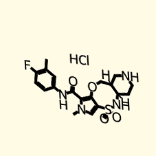 Cc1cc(NC(=O)c2c3c(cn2C)S(=O)(=O)N[C@@H]2CCNC[C@@H]2CO3)ccc1F.Cl